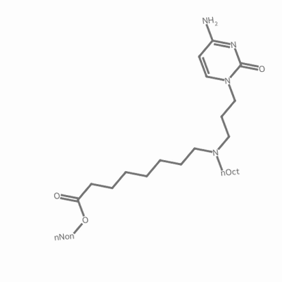 CCCCCCCCCOC(=O)CCCCCCCN(CCCCCCCC)CCCn1ccc(N)nc1=O